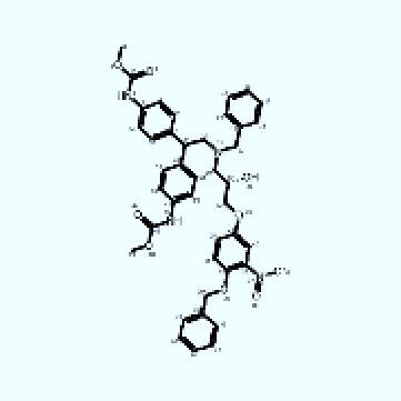 COC(=O)Nc1ccc(C(CN(Cc2ccccc2)C[C@H](O)COc2ccc(OCc3ccccc3)c([N+](=O)[O-])c2)c2ccc(NC(=O)OC)cc2)cc1